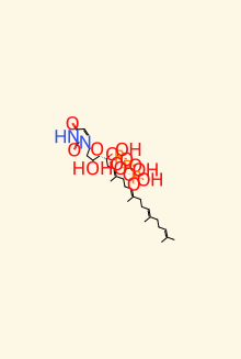 CC(C)=CCC/C(C)=C/CC/C(C)=C/CC/C(C)=C/CC(OP(=O)(O)OP(=O)(O)OP(=O)(O)O)[C@H]1O[C@@H](n2ccc(=O)[nH]c2=O)C[C@@H]1O